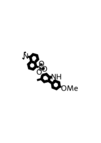 COc1ccc2c(c1)[nH]c1cc(OS(=O)(=O)c3cccc4c(N(C)C)cccc34)c(C)cc12